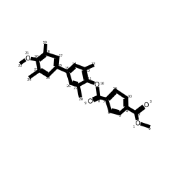 COC(=O)c1ccc(C(=O)Oc2c(C)cc(-c3cc(C)c(OC)c(C)c3)cc2C)cc1